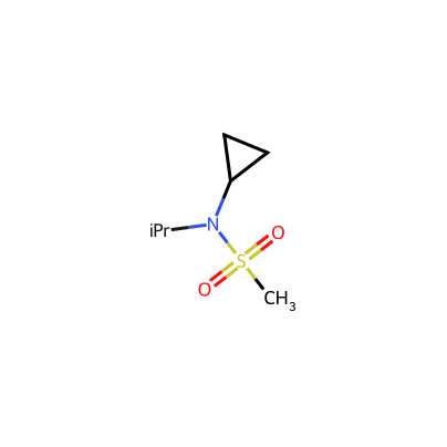 CC(C)N(C1CC1)S(C)(=O)=O